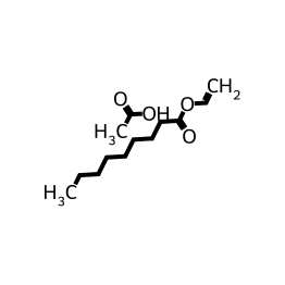 C=COC(=O)CCCCCCCC.CC(=O)O